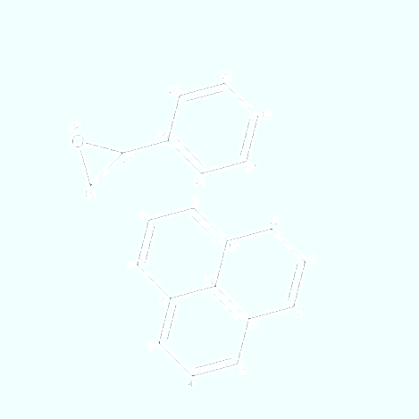 C1=Cc2cccc3cccc(c23)C1.c1ccc(C2CO2)cc1